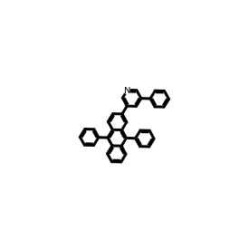 c1ccc(-c2cncc(-c3ccc4c(-c5ccccc5)c5ccccc5c(-c5ccccc5)c4c3)c2)cc1